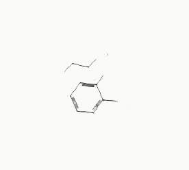 COCCO.O=C(O)c1ccccc1C(=O)O